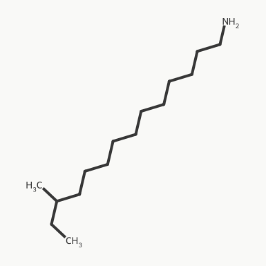 CCC(C)CCCCCCCCCCCN